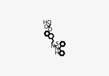 CN(CCC1CCc2c(cccc2OC(=O)CO)C1)C(=S)NC(c1ccccc1)c1ccccc1